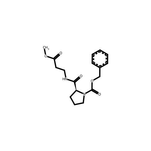 COC(=O)CCNC(=O)[C@@H]1CCCN1C(=O)OCc1ccccc1